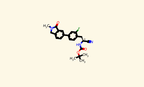 CN1Cc2ccc(-c3ccc(C[C@@H](C#N)NC(=O)OC(C)(C)C)c(F)c3)cc2C1=O